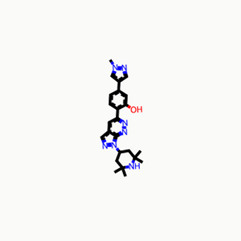 Cn1cc(-c2ccc(-c3cc4cnn(C5CC(C)(C)NC(C)(C)C5)c4nn3)c(O)c2)cn1